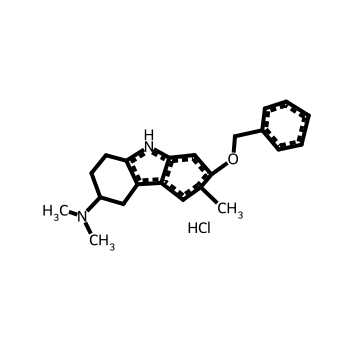 Cc1cc2c3c([nH]c2cc1OCc1ccccc1)CCC(N(C)C)C3.Cl